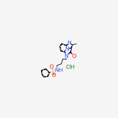 Cc1nc2cccc3n(CCCCNS(=O)(=O)c4ccccc4)c(=O)c1n23.Cl